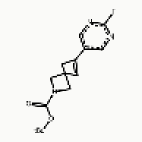 CC(C)(C)OC(=O)N1CC2(C=C(c3cnc(F)nc3)C2)C1